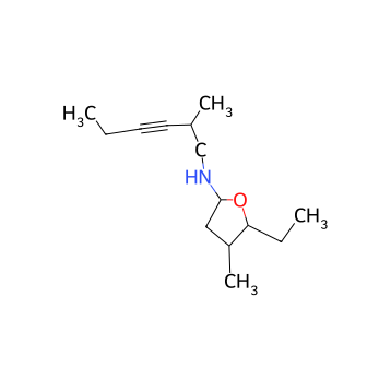 CCC#CC(C)CNC1CC(C)C(CC)O1